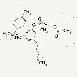 C=C(C)C1CCC(C)=CC1c1c(O)cc(CCCCC)cc1OP(C)(=O)OCOC(C)=O